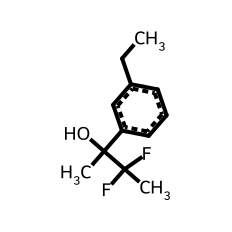 CCc1cccc(C(C)(O)C(C)(F)F)c1